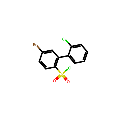 O=S(=O)(Cl)c1ccc(Br)cc1-c1ccccc1Cl